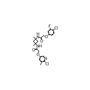 Cc1cc(OCC(=O)NC2(C)CC(C)(NC(=O)COc3ccc(Cl)c(F)c3)C2)cnc1Cl